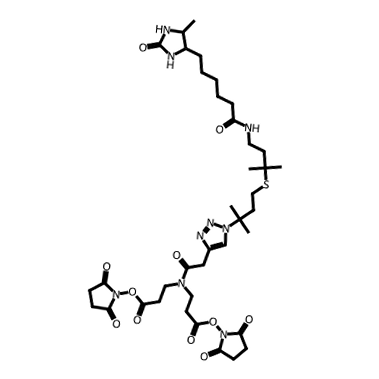 CC1NC(=O)NC1CCCCCC(=O)NCCC(C)(C)SCCC(C)(C)n1cc(CC(=O)N(CCC(=O)ON2C(=O)CCC2=O)CCC(=O)ON2C(=O)CCC2=O)nn1